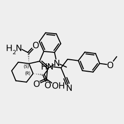 COc1ccc(CC(C#N)NC(=O)[C@@H]2CCCC[C@@]2(C(N)=O)c2c(C(=O)O)n(C)c3ccccc23)cc1